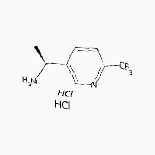 C[C@H](N)c1ccc(C(F)(F)F)nc1.Cl.Cl